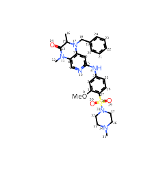 COc1cc(Nc2cc3c(cn2)N(C)C(=O)C(C)N3Cc2ccccc2)ccc1S(=O)(=O)N1CCN(C)CC1